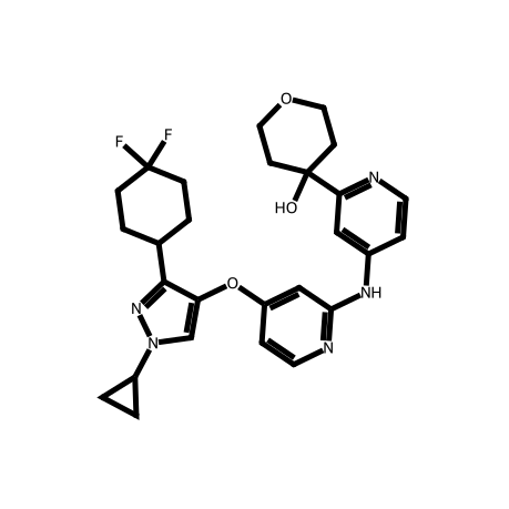 OC1(c2cc(Nc3cc(Oc4cn(C5CC5)nc4C4CCC(F)(F)CC4)ccn3)ccn2)CCOCC1